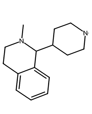 CN1CCc2ccccc2C1C1CC[N]CC1